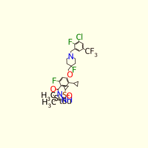 CC(C)(C)[Si](C)(C)N(C(=O)c1cc(C2CC2)c(OCC2(F)CCN(Cc3cc(C(F)(F)F)cc(Cl)c3F)CC2)cc1F)S(=N)(=O)C1CC1